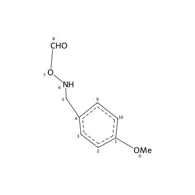 COc1ccc(CNOC=O)cc1